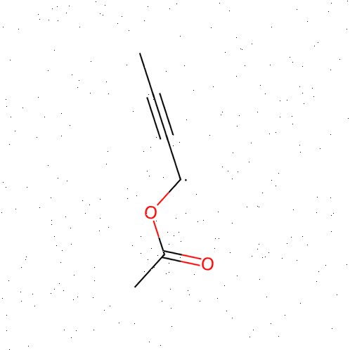 CC#C[CH]OC(C)=O